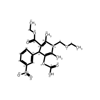 CCOCN1C(C)=C(OC(=O)O)C(c2cccc([N+](=O)[O-])c2)C(C(=O)OCC)=C1C